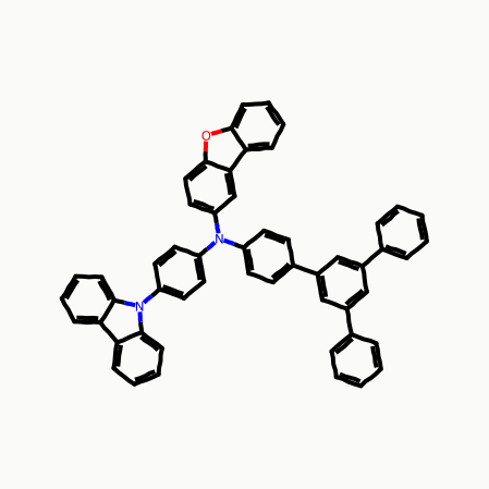 c1ccc(-c2cc(-c3ccccc3)cc(-c3ccc(N(c4ccc(-n5c6ccccc6c6ccccc65)cc4)c4ccc5oc6ccccc6c5c4)cc3)c2)cc1